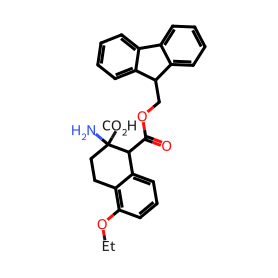 CCOc1cccc2c1CCC(N)(C(=O)O)C2C(=O)OCC1c2ccccc2-c2ccccc21